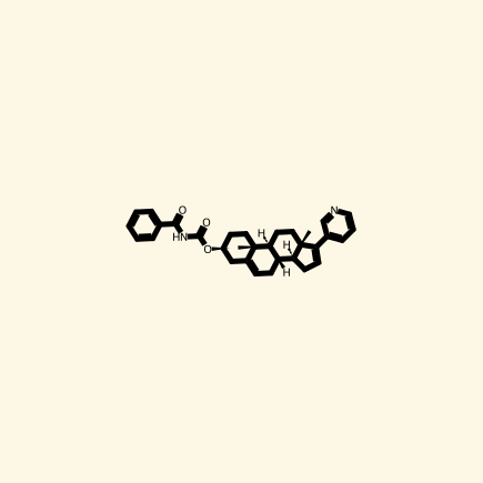 C[C@]12CC[C@H](OC(=O)NC(=O)c3ccccc3)CC1=CC[C@@H]1[C@@H]2CC[C@]2(C)C(c3cccnc3)=CC[C@@H]12